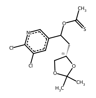 CC(=S)OC(C[C@H]1COC(C)(C)O1)c1cnc(Cl)c(Cl)c1